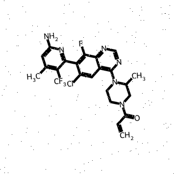 C=CC(=O)N1CCN(c2ncnc3c(F)c(-c4nc(N)cc(C)c4C(F)(F)F)c(Cl)cc23)C(C)C1